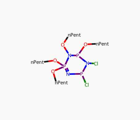 CCCCCON1P(OCCCCC)N(Cl)P(Cl)N=P1(OCCCCC)OCCCCC